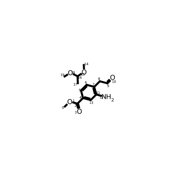 COC(=O)c1ccc(CC=O)c(N)c1.COC(C)OC